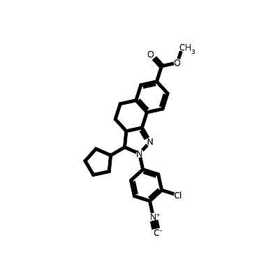 [C-]#[N+]c1ccc(N2N=C3c4ccc(C(=O)OC)cc4CCC3C2C2CCCC2)cc1Cl